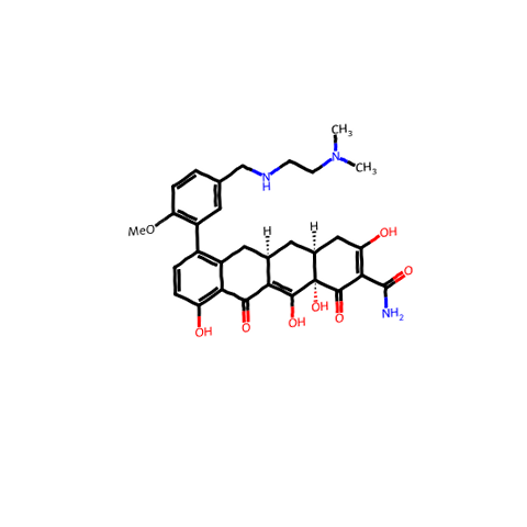 COc1ccc(CNCCN(C)C)cc1-c1ccc(O)c2c1C[C@H]1C[C@H]3CC(O)=C(C(N)=O)C(=O)[C@@]3(O)C(O)=C1C2=O